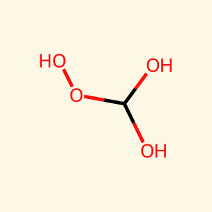 OOC(O)O